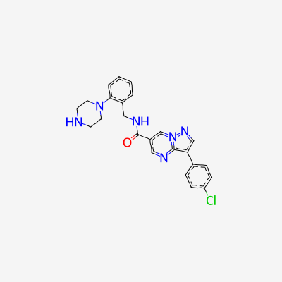 O=C(NCc1ccccc1N1CCNCC1)c1cnc2c(-c3ccc(Cl)cc3)cnn2c1